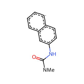 CNC(=O)Nc1ccc2[c]cccc2c1